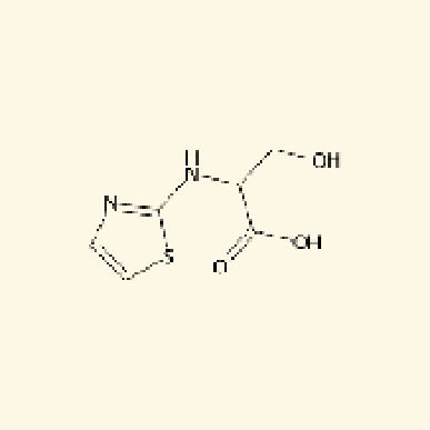 O=C(O)C(CO)Nc1nccs1